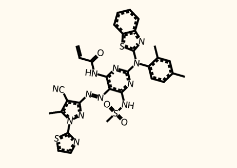 C=CC(=O)Nc1nc(N(c2nc3ccccc3s2)c2ccc(C)cc2C)nc(NS(C)(=O)=O)c1N=Nc1nn(-c2nccs2)c(C)c1C#N